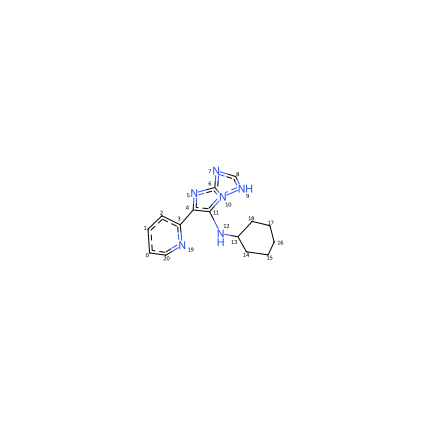 c1ccc(-c2nc3nc[nH]n3c2NC2CCCCC2)nc1